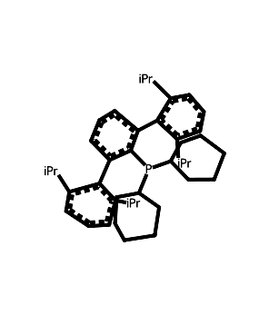 CC(C)c1cccc(C(C)C)c1-c1cccc(-c2c(C(C)C)cccc2C(C)C)c1P(C1CCCCC1)C1CCCCC1